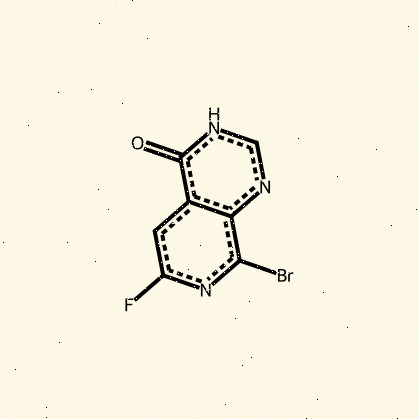 O=c1[nH]cnc2c(Br)nc(F)cc12